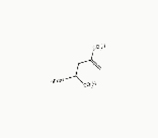 C=C(CC(CCCCC)C(=O)O)C(=O)O